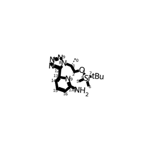 C[C@H](CO[Si](C)(C)C(C)(C)C)n1nnnc1-c1cccc(N)n1